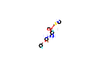 CC(OCCS(=O)(=O)c1ccccn1)C1(c2cc3c(Nc4ccc(OCc5cccc(F)c5)c(Br)c4)ncnc3cc2F)CC=CO1